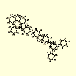 c1ccc(-c2nc(-c3ccccc3)nc(-c3ccc4c(c3)oc3cc(-c5ccc6c(c5)c5ccc7sc8ccccc8c7c5n6-c5ccccc5)ccc34)n2)cc1